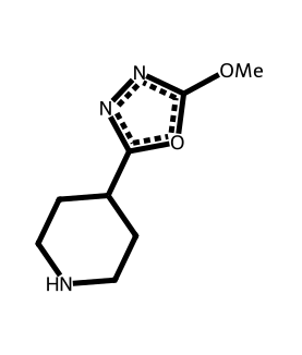 COc1nnc(C2CCNCC2)o1